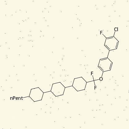 CCCCCC1CCC(C2CCC(C3CCC(C(F)(F)Oc4ccc(-c5ccc(Cl)c(F)c5)cc4)CC3)CC2)CC1